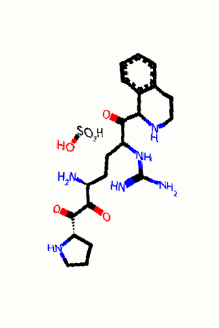 N=C(N)NC(CC[C@H](N)C(=O)C(=O)[C@@H]1CCCN1)C(=O)C1NCCc2ccccc21.O=S(=O)(O)O